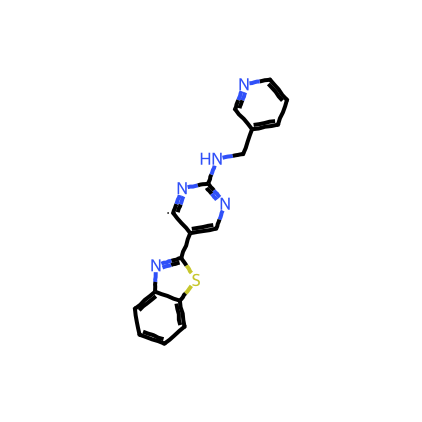 [c]1nc(NCc2cccnc2)ncc1-c1nc2ccccc2s1